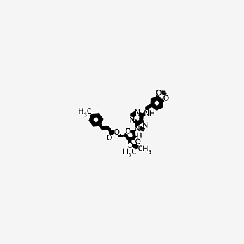 Cc1ccc(/C=C/C(=O)OC[C@H]2O[C@@H](n3cnc4c(NCc5ccc6c(c5)OCO6)ncnc43)[C@H]3OC(C)(C)OC23)cc1